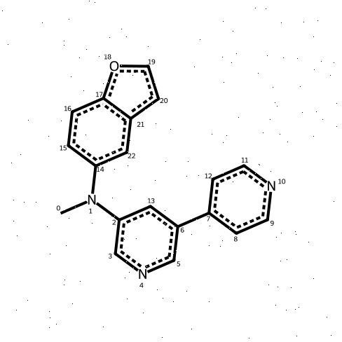 CN(c1cncc(-c2ccncc2)c1)c1ccc2occc2c1